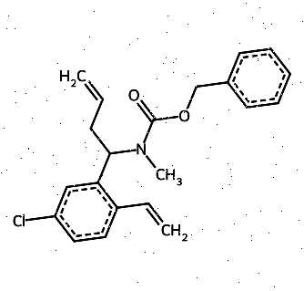 C=CCC(c1cc(Cl)ccc1C=C)N(C)C(=O)OCc1ccccc1